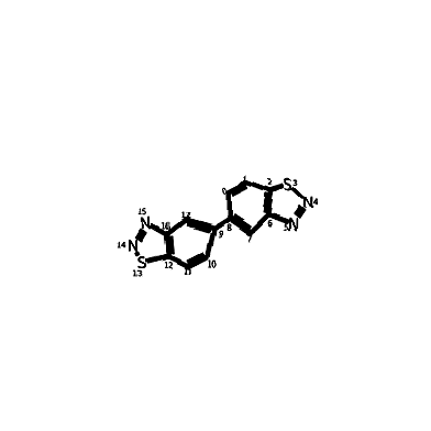 c1cc2snnc2cc1-c1ccc2snnc2c1